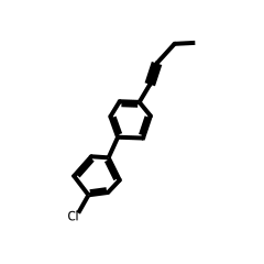 CCC#Cc1ccc(-c2ccc(Cl)cc2)cc1